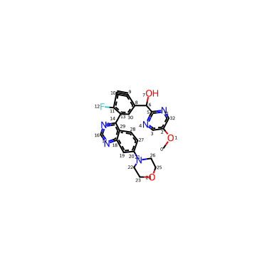 COc1cnc(C(O)c2c#cc(F)c(-c3ncnc4cc(N5CCOCC5)ccc34)c2)nc1